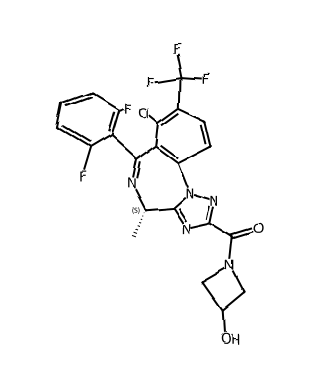 C[C@@H]1N=C(c2c(F)cccc2F)c2c(ccc(C(F)(F)F)c2Cl)-n2nc(C(=O)N3CC(O)C3)nc21